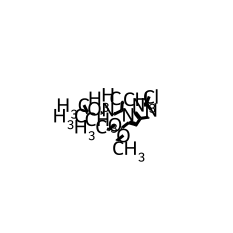 CCOC(OCC)c1cc2cnc(Cl)nc2n1C(CNCOC(C)(C)C)C(C)C